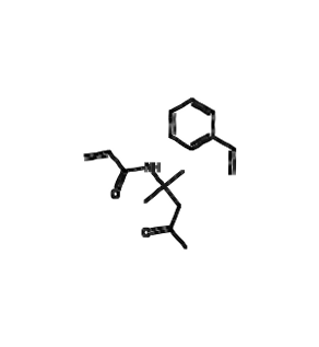 C=CC(=O)NC(C)(C)CC(C)=O.C=Cc1ccccc1